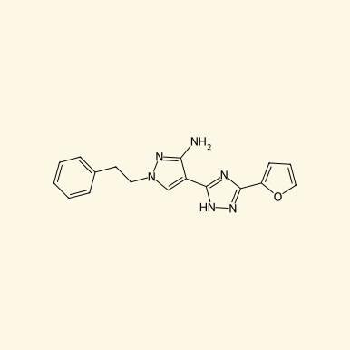 Nc1nn(CCc2ccccc2)cc1-c1nc(-c2ccco2)n[nH]1